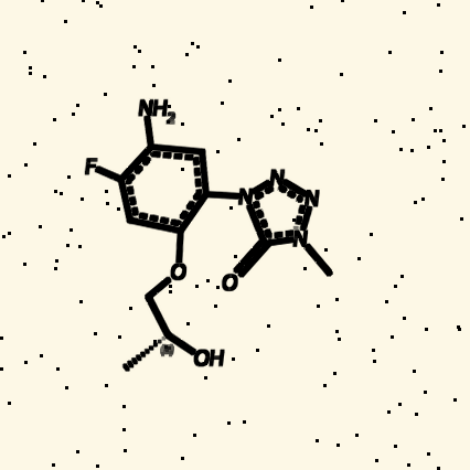 C[C@@H](O)COc1cc(F)c(N)cc1-n1nnn(C)c1=O